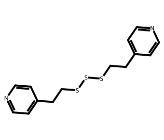 c1cc(CCSSSCCc2ccncc2)ccn1